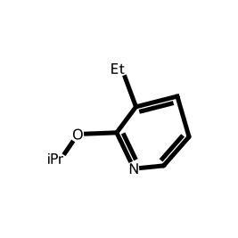 CCc1cccnc1OC(C)C